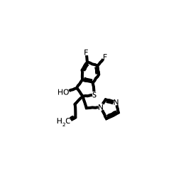 C=CCC1(Cn2ccnc2)Sc2cc(F)c(F)cc2C1O